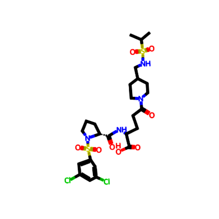 CC(C)S(=O)(=O)NCC1CCN(C(=O)CCC(NC(=O)[C@H]2CCCN2S(=O)(=O)c2cc(Cl)cc(Cl)c2)C(=O)O)CC1